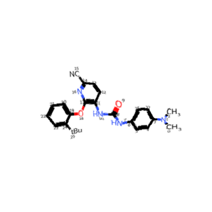 CN(C)c1ccc(NC(=O)Nc2ccc(C#N)nc2Oc2ccccc2C(C)(C)C)cc1